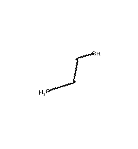 CCCCCCCCCCCCCCCCCCCCC1CC1CCCCCCCCCCCCCCC1CC1CCCCCCCCCCCCO